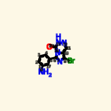 Nc1cccc(-c2nc(Br)c3cn[nH]c(=O)n23)c1